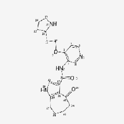 O=C(Nc1cnccc1OCCC1CCCN1)c1c[nH]c2c1C(=O)CCCC2